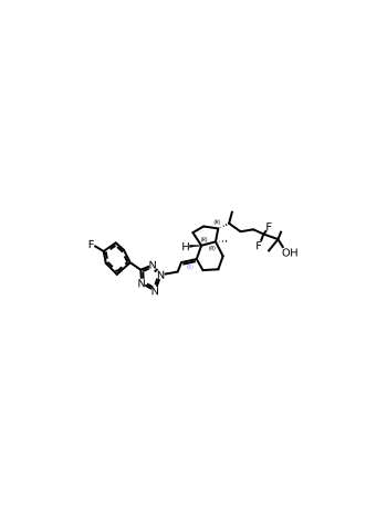 CC(CCC(F)(F)C(C)(C)O)[C@H]1CC[C@H]2/C(=C/Cn3nnc(-c4ccc(F)cc4)n3)CCC[C@]12C